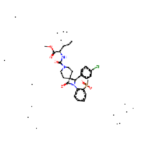 CC[C@@H](C)[C@@H](NC(=O)N1CCC2(CC1)C(=O)N(c1ccccc1S(C)(=O)=O)C2c1ccc(Cl)cc1)C(=O)OC